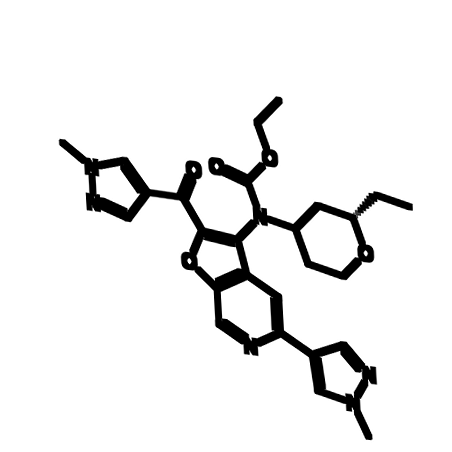 CCOC(=O)N(c1c(C(=O)c2cnn(C)c2)oc2cnc(-c3cnn(C)c3)cc12)C1CCO[C@@H](CC)C1